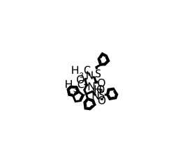 CN1C(=O)[C@@]2(C)C[C@]3(C4=CCc5ccccc54)c4ccccc4N(S(=O)(=O)c4ccccc4)[C@@H]3N2C(=O)[C@@H]1SCc1ccccc1